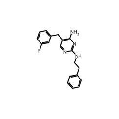 Nc1nc(NCCc2ccccc2)ncc1Cc1cccc(F)c1